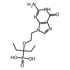 CCC(CC)(OCCn1cnc2c(=O)[nH]c(N)nc21)P(=O)(O)O